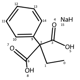 CCC(C(=O)O)(C(=O)O)c1ccccc1.[NaH]